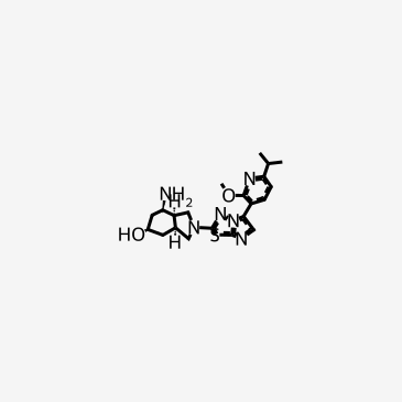 COc1nc(C(C)C)ccc1-c1cnc2sc(N3C[C@H]4C[C@@H](O)C[C@@H](N)[C@H]4C3)nn12